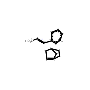 C1=C2CCC(C1)C2.O=C(O)/C=C/c1ccccc1